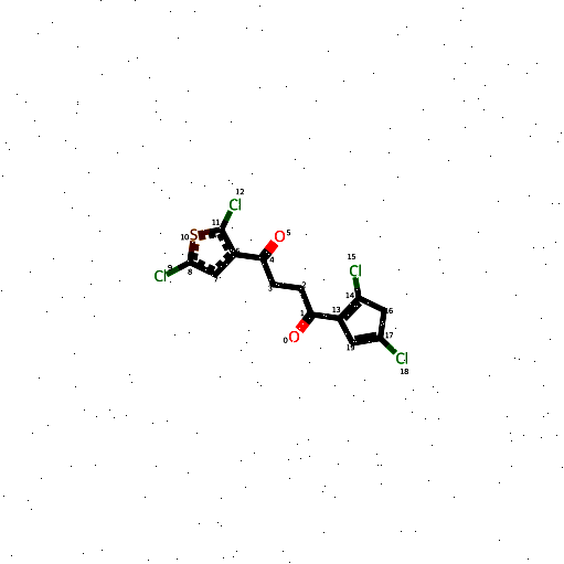 O=C(CCC(=O)c1cc(Cl)sc1Cl)C1=C(Cl)CC(Cl)=C1